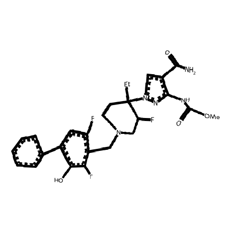 CCC1(n2cc(C(N)=O)c(NC(=O)OC)n2)CCN(Cc2c(F)cc(-c3ccccc3)c(O)c2F)CC1F